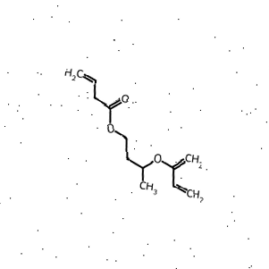 C=CCC(=O)OCCC(C)OC(=C)C=C